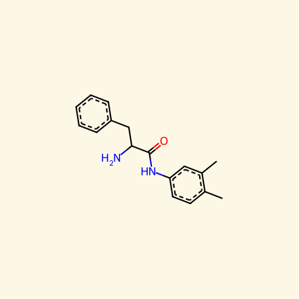 Cc1ccc(NC(=O)C(N)Cc2ccccc2)cc1C